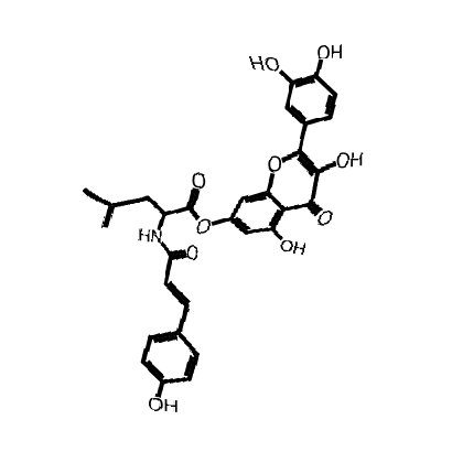 CC(C)CC(NC(=O)/C=C/c1ccc(O)cc1)C(=O)Oc1cc(O)c2c(=O)c(O)c(-c3ccc(O)c(O)c3)oc2c1